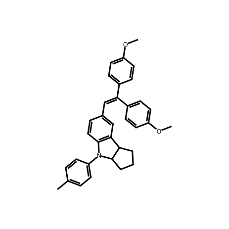 COc1ccc(C(=Cc2ccc3c(c2)C2CCCC2N3c2ccc(C)cc2)c2ccc(OC)cc2)cc1